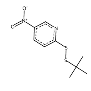 CC(C)(C)SSc1ccc([N+](=O)[O-])cn1